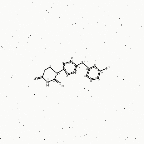 O=C1CCN(c2cnc(Sc3cccc(F)c3)nc2)C(=O)N1